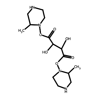 CC1CNCCN1OC(=O)C(O)C(O)C(=O)ON1CCNCC1C